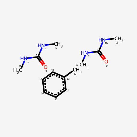 CNC(=O)NC.CNC(=O)NC.Cc1ccccc1